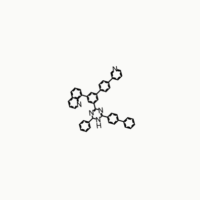 c1ccc(-c2ccc(C3=NC(c4cc(-c5ccc(-c6cccnc6)cc5)cc(-c5cccc6cccnc56)c4)=NC(c4ccccc4)N3)cc2)cc1